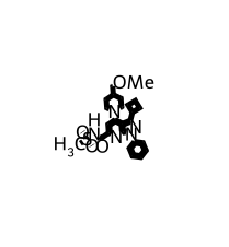 COCC1CCN(c2cc(C(=O)NS(C)(=O)=O)nc3c2c(C2CCC2)nn3-c2ccccc2)CC1